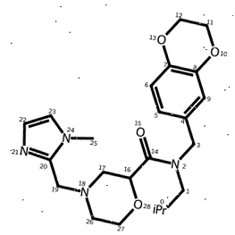 CC(C)CN(Cc1ccc2c(c1)OCCO2)C(=O)C1CN(Cc2nccn2C)CCO1